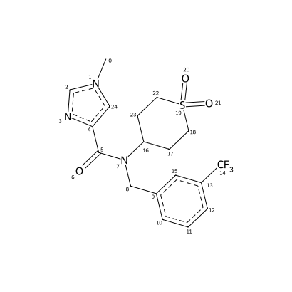 Cn1cnc(C(=O)N(Cc2cccc(C(F)(F)F)c2)C2CCS(=O)(=O)CC2)c1